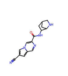 N#Cc1cc2cnc(C(=O)NC3CC4CNC3C4)cn2c1